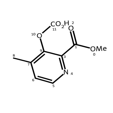 COC(=O)c1nccc(C)c1OC(=O)O